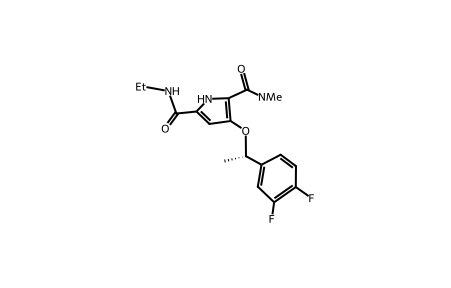 CCNC(=O)c1cc(O[C@@H](C)c2ccc(F)c(F)c2)c(C(=O)NC)[nH]1